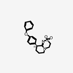 O=S1(=O)CCN2CCC[C@@H](c3ccc(Oc4ccccc4)cc3)C2=N1